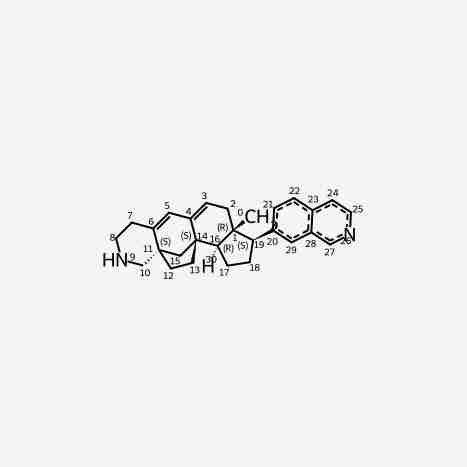 C[C@]12CC=C3C=C4CCNC[C@]45CC[C@]3(C5)[C@@H]1CC[C@@H]2c1ccc2ccncc2c1